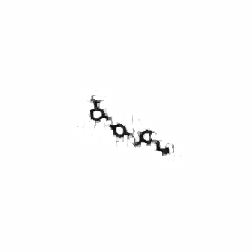 CC1CCC(C(F)(F)F)CC1COC1CCC(C2NCC3CN(CCC(=O)O)CCC3N2)CC1